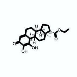 CCOC(=O)[C@H]1CC[C@H]2[C@@H]3CCC4=CC(=O)C(O)=C(O)[C@]4(C)[C@H]3CC[C@]12C